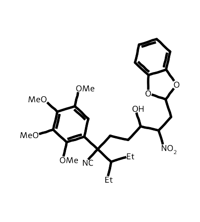 CCC(CC)C(C#N)(CCC(O)C(CC1Oc2ccccc2O1)[N+](=O)[O-])c1cc(OC)c(OC)c(OC)c1OC